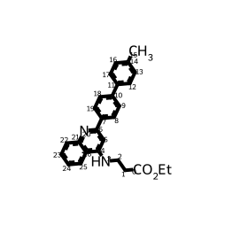 CCOC(=O)CCNc1cc(-c2ccc(-c3ccc(C)cc3)cc2)nc2ccccc12